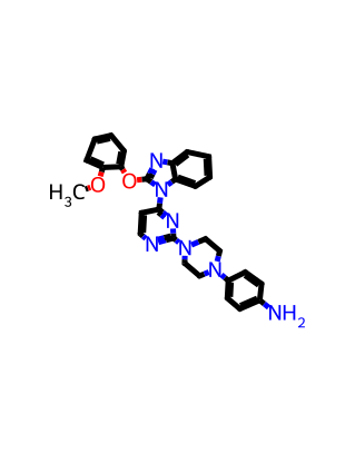 COc1ccccc1Oc1nc2ccccc2n1-c1ccnc(N2CCN(c3ccc(N)cc3)CC2)n1